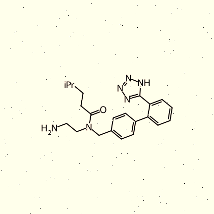 CC(C)CCC(=O)N(CCN)Cc1ccc(-c2ccccc2-c2nnn[nH]2)cc1